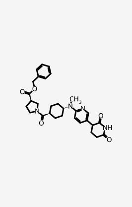 CN(c1ccc(C2CCC(=O)NC2=O)cn1)[C@H]1CC[C@H](C(=O)N2CC[C@@H](C(=O)OCc3ccccc3)C2)CC1